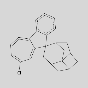 ClC1=CC=C=C2C(=C1)C1(c3ccccc32)C2CC3CC4CC1CC34C2